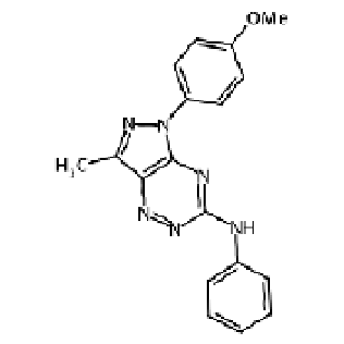 COc1ccc(-n2nc(C)c3nnc(Nc4ccccc4)nc32)cc1